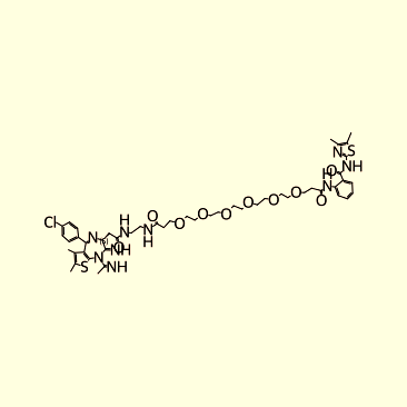 CC(=N)N1C(=N)[C@H](CC(=O)NCCNC(=O)CCOCCOCCOCCOCCOCCOCCC(=O)Nc2ccccc2C(=O)Nc2nc(C)c(C)s2)N=C(c2ccc(Cl)cc2)c2c1sc(C)c2C